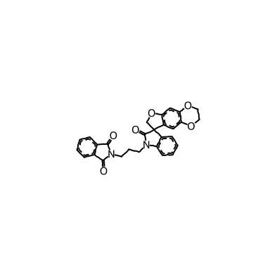 O=C1c2ccccc2C(=O)N1CCCN1C(=O)C2(COc3cc4c(cc32)OCCO4)c2ccccc21